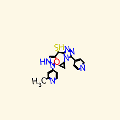 Cc1cc(N2NC=C(C(S)c3nnc(-c4ccncc4)n3C3CC3)O2)ccn1